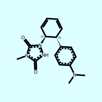 CN(C)c1ccc([C@H]2C=CC=C[C@@H]2n2[nH]c(=O)n(C)c2=O)cc1